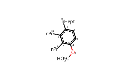 CCCCCCCc1ccc(OC(=O)O)c(CCC)c1CCC